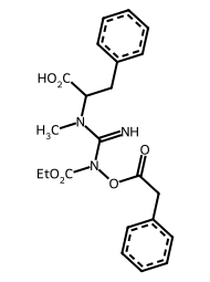 CCOC(=O)N(OC(=O)Cc1ccccc1)C(=N)N(C)C(Cc1ccccc1)C(=O)O